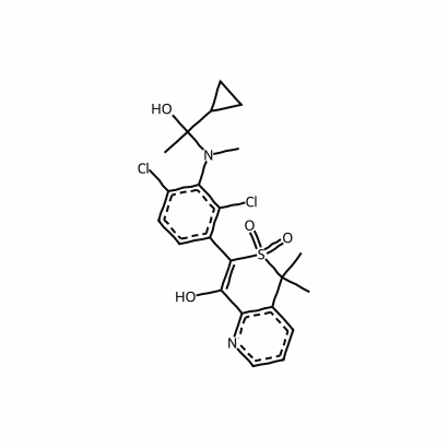 CN(c1c(Cl)ccc(C2=C(O)c3ncccc3C(C)(C)S2(=O)=O)c1Cl)C(C)(O)C1CC1